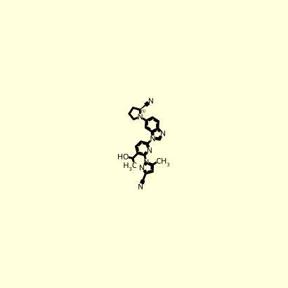 Cc1cc(C#N)nn1-c1nc(-n2cnc3ccc(N4CCC[C@H]4C#N)cc32)ccc1C(C)O